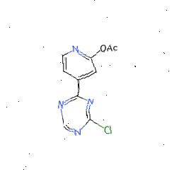 CC(=O)Oc1cc(-c2ncnc(Cl)n2)ccn1